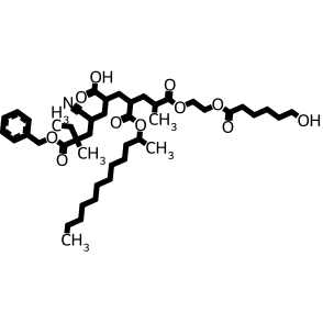 CCCCCCCCCCC(C)OC(=O)C(CC(C)C(=O)OCCOC(=O)CCCCCO)CC(CC(C#N)CC(C)(CC)C(=O)OCc1ccccc1)C(=O)O